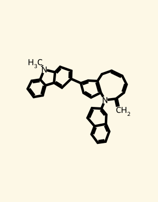 C=C1/C=C\C=C/Cc2cc(-c3ccc4c(c3)c3ccccc3n4C)ccc2N1c1ccc2ccccc2c1